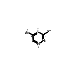 Fc1nn[c]c(Br)n1